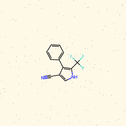 N#Cc1c[nH]c(C(F)(F)F)c1-c1ccccc1